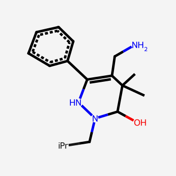 CC(C)CN1NC(c2ccccc2)=C(CN)C(C)(C)C1O